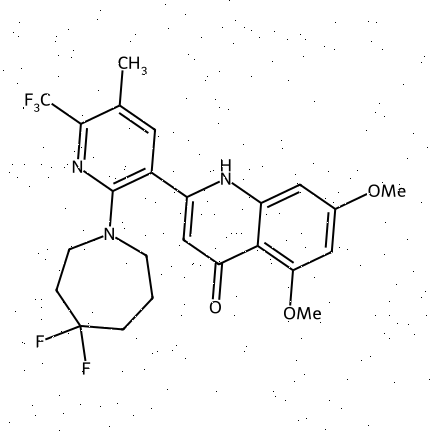 COc1cc(OC)c2c(=O)cc(-c3cc(C)c(C(F)(F)F)nc3N3CCCC(F)(F)CC3)[nH]c2c1